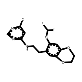 FC(F)Oc1cc2c(cc1CCNc1cc(Cl)ncn1)OCCO2